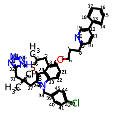 CC1Cc2c(OCCCc3ccc(-c4ccccc4)cn3)ccc3c2c(c(CC(C)(C)Cc2nnn[nH]2)n3Cc2ccc(Cl)cc2)S1